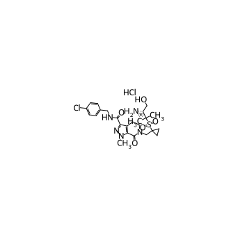 Cl.Cn1nc(C(=O)NCc2ccc(Cl)cc2)c2c1C(=O)N(CC1(S(=O)(=O)C(C)(C)[C@H](N)CO)CC1)CC2